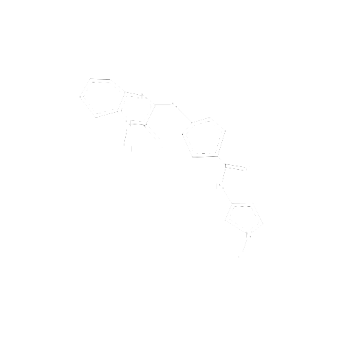 Cn1ccc(NC(=O)c2ccc(Nc3nc4ccccc4n(C)c3=O)cc2)c1